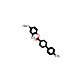 CCCCCCCCCCc1ccc(OC(=O)C2CCC(c3ccc(C)cc3)CC2)c(C#N)c1